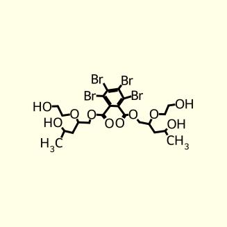 CC(O)CC(COC(=O)c1c(Br)c(Br)c(Br)c(Br)c1C(=O)OCC(CC(C)O)OCCO)OCCO